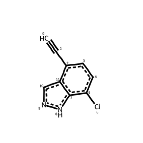 C#Cc1ccc(Cl)c2[nH]ncc12